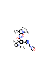 Cc1c(C(=O)NCC2C(=O)N(C)C(C)CC2C)cc(-c2cnn(CCN3CCOCC3)c2)cc1N(C)C1CCCC1